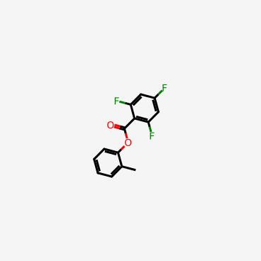 Cc1ccccc1OC(=O)c1c(F)cc(F)cc1F